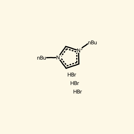 Br.Br.Br.CCCCn1cc[n+](CCCC)c1